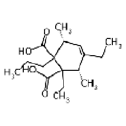 CCCC1(C(=O)O)[C@H](C)C=C(CC)[C@H](C)C1(CC)C(=O)O